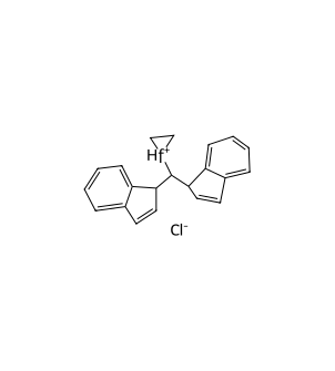 C1=CC([CH](C2C=Cc3ccccc32)[Hf+]2[CH2][CH2]2)c2ccccc21.[Cl-]